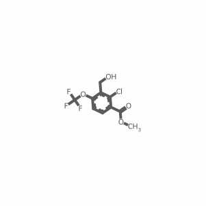 COC(=O)c1ccc(OC(F)(F)F)c(CO)c1Cl